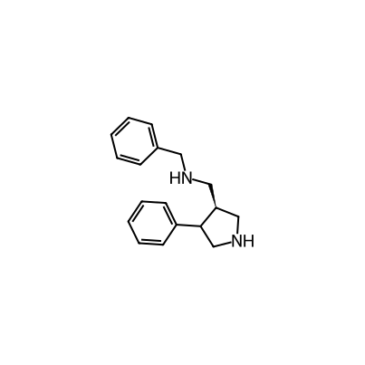 c1ccc(CNC[C@H]2CNCC2c2ccccc2)cc1